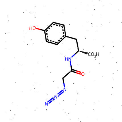 [N-]=[N+]=NCC(=O)N[C@@H](Cc1ccc(O)cc1)C(=O)O